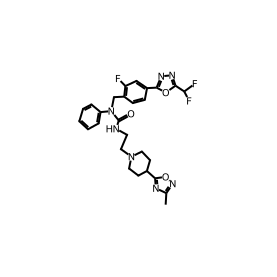 Cc1noc(C2CCN(CCNC(=O)N(Cc3ccc(-c4nnc(C(F)F)o4)cc3F)c3ccccc3)CC2)n1